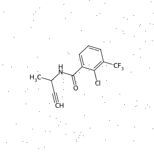 C#CC(C)NC(=O)c1cccc(C(F)(F)F)c1Cl